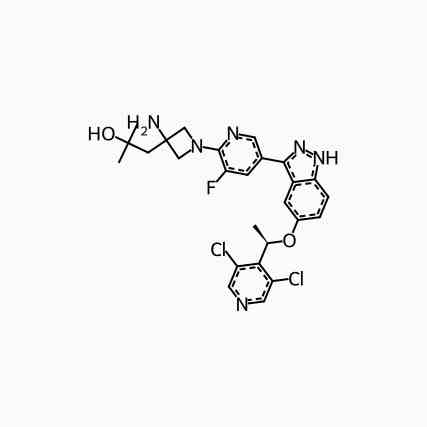 C[C@@H](Oc1ccc2[nH]nc(-c3cnc(N4CC(N)(CC(C)(C)O)C4)c(F)c3)c2c1)c1c(Cl)cncc1Cl